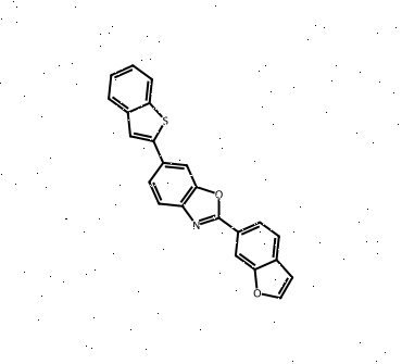 c1ccc2sc(-c3ccc4nc(-c5ccc6ccoc6c5)oc4c3)cc2c1